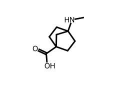 CNC12CCC(C(=O)O)(CC1)C2